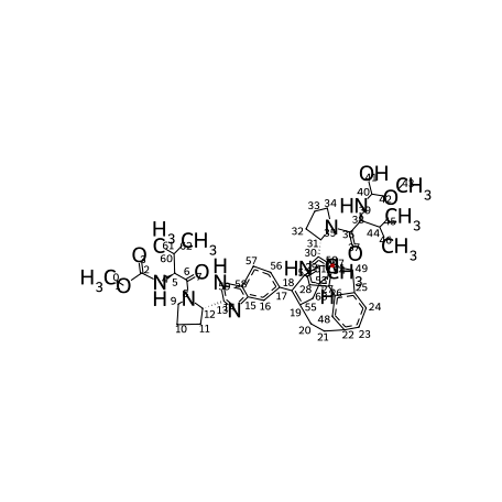 COC(=O)N[C@H](C(=O)N1CCC[C@H]1c1nc2cc(C3=C4CCc5ccc(c(-c6c[nH]c([C@@H]7CCCN7C(=O)[C@@H](NC(O)OC)C(C)C)n6)c5)CCC(=C3)[C@@H](C)C4)ccc2[nH]1)C(C)C